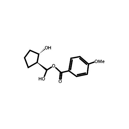 COc1ccc(C(=O)OC(O)[C@H]2CCC[C@@H]2O)cc1